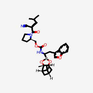 CC(C)C=C(C#N)C(=O)N1CCC[C@@H]1COC(=O)NC(Cc1coc2ccccc12)B1O[C@@H]2C[C@@H]3C[C@@H](C3(C)C)[C@]2(C)O1